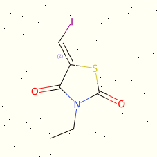 CCN1C(=O)S/C(=C\I)C1=O